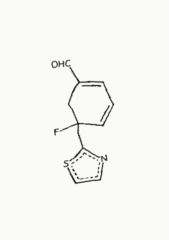 O=CC1=CC=CC(F)(c2nccs2)C1